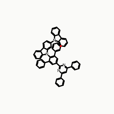 c1ccc(-c2cc(-c3ccccc3)nc(-c3cc(-c4ccccc4)c(-n4c5ccccc5c5ccc(-n6c7ccccc7c7ccccc76)cc54)c(-c4ccccc4)c3)n2)cc1